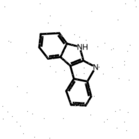 c1ccc2c(c1)[N]c1[nH]c3ccccc3c1-2